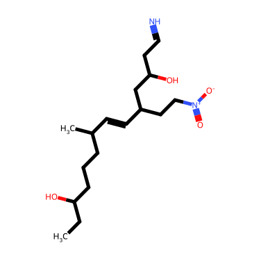 CCC(O)CCCC(C)/C=C/C(CC[N+](=O)[O-])CC(O)CC=N